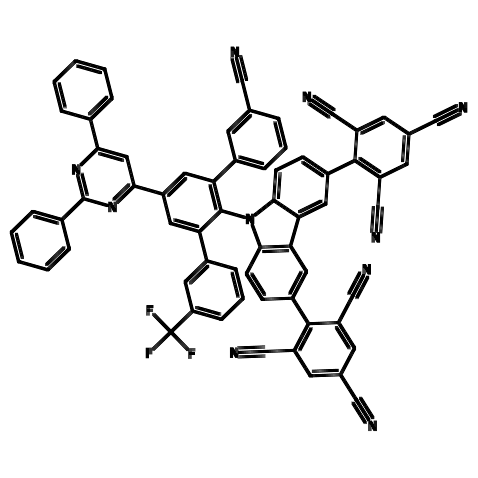 N#Cc1cccc(-c2cc(-c3cc(-c4ccccc4)nc(-c4ccccc4)n3)cc(-c3cccc(C(F)(F)F)c3)c2-n2c3ccc(-c4c(C#N)cc(C#N)cc4C#N)cc3c3cc(-c4c(C#N)cc(C#N)cc4C#N)ccc32)c1